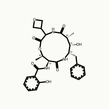 C[C@H]1OC(=O)C(C2COC2)NC(=O)[C@H](C)[C@H](O)[C@H](Cc2ccccc2)NC(=O)[C@H]1NC(=O)c1ccccc1O